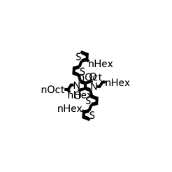 CCCCCCCCC(CCCCCC)CN1C(=O)C2=C(c3ccc(-c4sccc4CCCCCC)s3)N(CC(CCCCCC)CCCCCCCC)C(=O)C2=C1c1ccc(-c2sccc2CCCCCC)s1